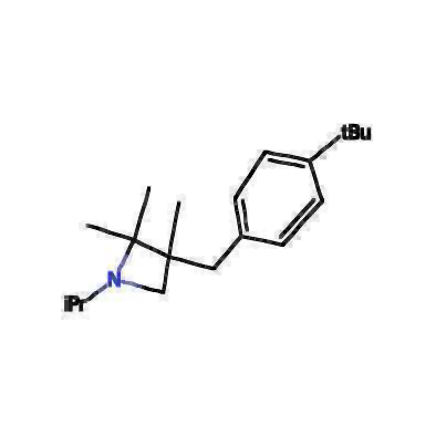 CC(C)N1CC(C)(Cc2ccc(C(C)(C)C)cc2)C1(C)C